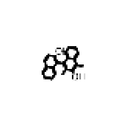 Cc1c(O)c(C)c2ccccc2c1-c1c(O)ccc2ccccc12